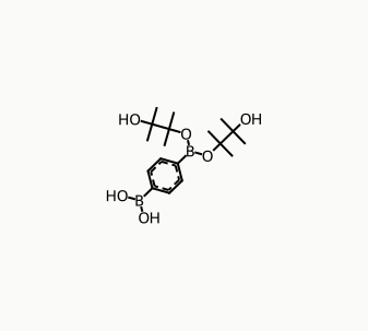 CC(C)(O)C(C)(C)OB(OC(C)(C)C(C)(C)O)c1ccc(B(O)O)cc1